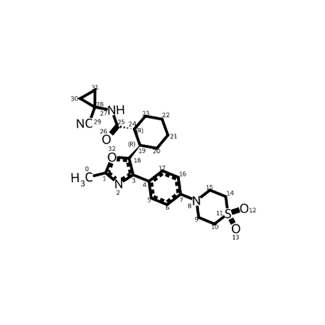 Cc1nc(-c2ccc(N3CCS(=O)(=O)CC3)cc2)c([C@@H]2CCCC[C@H]2C(=O)NC2(C#N)CC2)o1